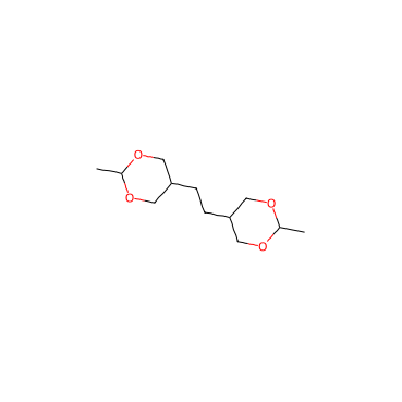 CC1OCC(CCC2COC(C)OC2)CO1